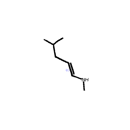 CN/C=C/CC(C)C